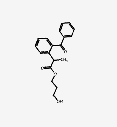 CC(C(=O)OCCCO)c1ccccc1C(=O)c1ccccc1